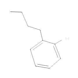 [CH2]c1ccccc1CCCCl